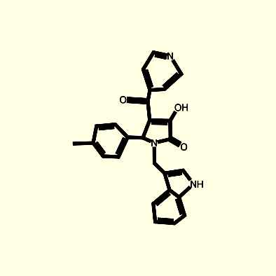 Cc1ccc(C2C(C(=O)c3ccncc3)=C(O)C(=O)N2Cc2c[nH]c3ccccc23)cc1